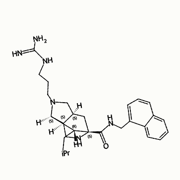 CC(C)C[C@@H]1[C@@H]2[C@@H]3CN[C@@]1(C(=O)NCc1cccc4ccccc14)C[C@@H]3CN2CCCNC(=N)N